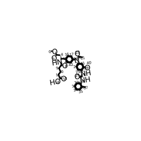 COC(=O)C[C@@H](NC(=O)CCCC(=O)O)c1ccc(N(C(C)=O)c2ccc(NC(=O)Nc3ccccc3C)c(OC)c2)cc1